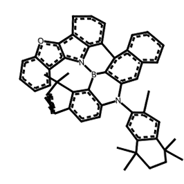 Cc1cc2c(cc1N1c3ccc4c(c3B3c5c1cc1ccccc1c5-c1cccc5c6oc7ccccc7c6n3c15)C(C)(C)c1ccccc1-4)C(C)(C)CCC2(C)C